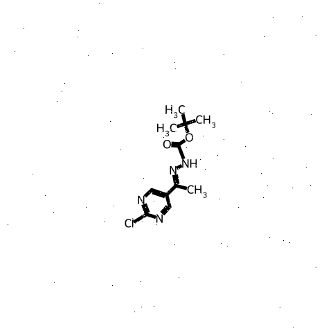 CC(=NNC(=O)OC(C)(C)C)c1cnc(Cl)nc1